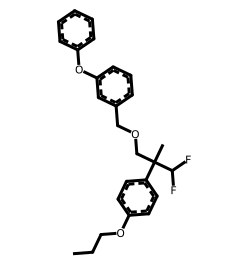 CCCOc1ccc(C(C)(COCc2cccc(Oc3ccccc3)c2)C(F)F)cc1